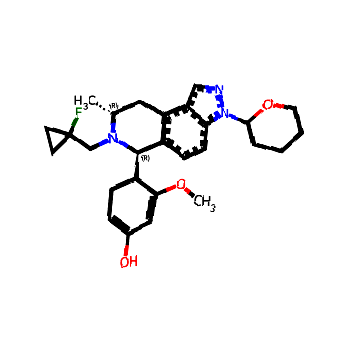 COC1=CC(O)=CCC1[C@@H]1c2ccc3c(cnn3C3CCCCO3)c2C[C@@H](C)N1CC1(F)CC1